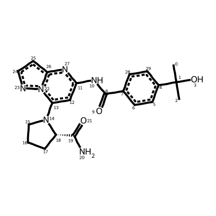 CC(C)(O)c1ccc(C(=O)Nc2cc(N3CCC[C@H]3C(N)=O)n3nccc3n2)cc1